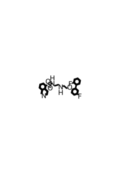 O=S(=O)(NCCNCCOc1ccc(F)cc1-c1ccccc1F)c1cccc2cnccc12